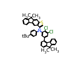 CC(C)(C)c1ccc(N(c2cc(-c3cccc4c3-c3ccccc3C4(C)C)cc(Cl)c2Cl)c2csc3cc4c(cc23)-c2ccccc2C4(C)C)cc1